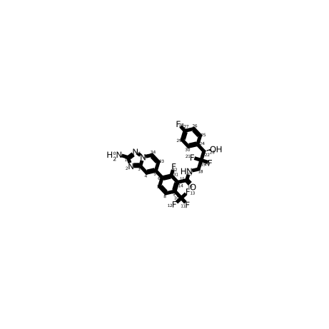 Nc1nc2cc(-c3ccc(C(F)(F)F)c(C(=O)NCC(F)(F)[C@@H](O)c4ccc(F)cc4)c3F)ccn2n1